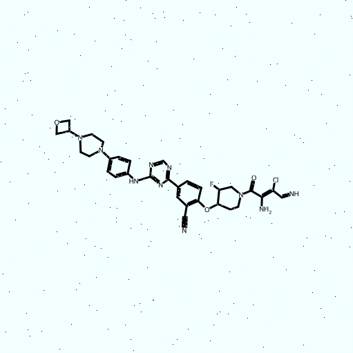 N#Cc1cc(-c2ncnc(Nc3ccc(N4CCN(C5COC5)CC4)cc3)n2)ccc1OC1CCN(C(=O)/C(N)=C(\Cl)C=N)CC1F